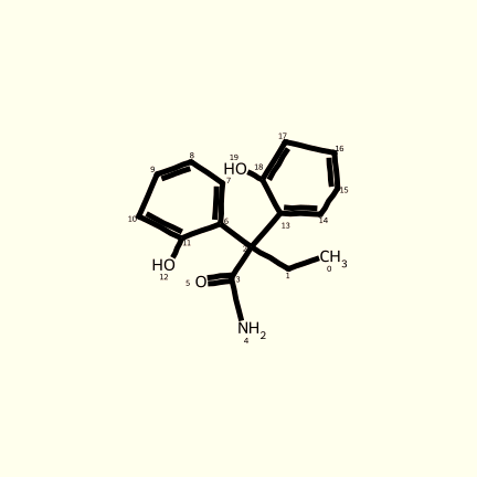 CCC(C(N)=O)(c1ccccc1O)c1ccccc1O